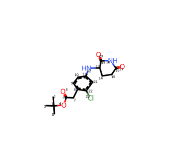 CC(C)(C)OC(=O)Cc1ccc(NC2CCC(=O)NC2=O)cc1Cl